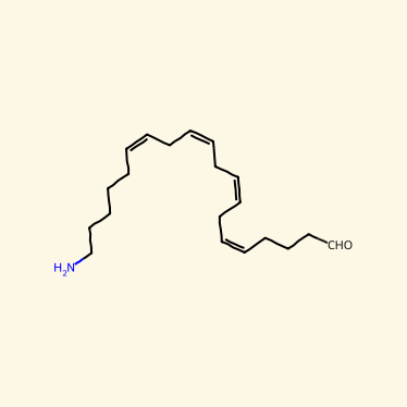 NCCCCC/C=C\C/C=C\C/C=C\C/C=C\CCCC=O